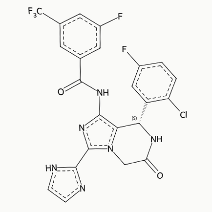 O=C1Cn2c(-c3ncc[nH]3)nc(NC(=O)c3cc(F)cc(C(F)(F)F)c3)c2[C@H](c2cc(F)ccc2Cl)N1